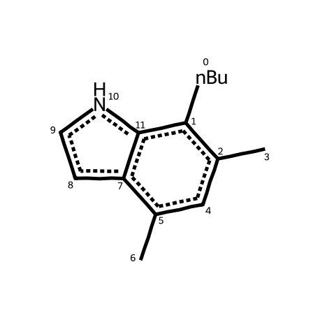 CCCCc1c(C)cc(C)c2cc[nH]c12